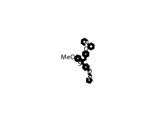 COc1ccc2c(Cc3ccc(O[C@H]4CCCC[C@@H]4N4CCCCC4)cc3)c(-c3ccc(OCCN4CCCC4)cc3)sc2c1